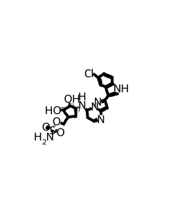 NS(=O)(=O)OCC1C[C@@H](NC2CC=Nc3cc(-c4c[nH]c5ccc(Cl)cc45)nn32)[C@H](O)[C@@H]1O